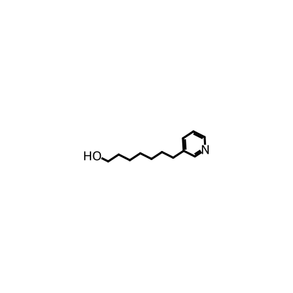 OCCCCCCCc1cccnc1